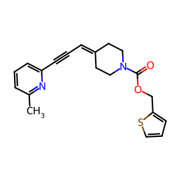 Cc1cccc(C#CC=C2CCN(C(=O)OCc3cccs3)CC2)n1